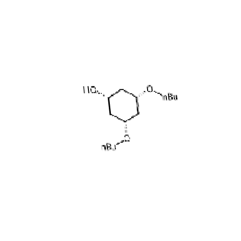 CCCCO[C@@H]1C[C@H](O)C[C@H](OCCCC)C1